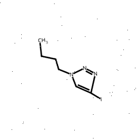 CCCCn1cc(I)nn1